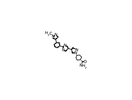 Cn1cc(-c2cccc(-c3ncc(-c4cnn([C@H]5CC[C@H](C(N)=O)CC5)c4)cn3)c2)cn1